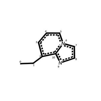 CCc1cccn2ccnc12